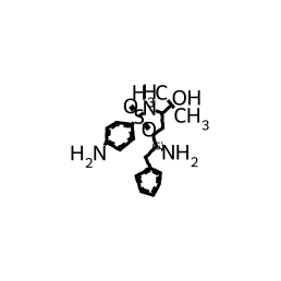 CC(C)(O)C(CC[C@H](N)Cc1ccccc1)NS(=O)(=O)c1ccc(N)cc1